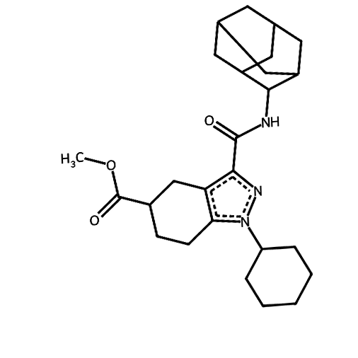 COC(=O)C1CCc2c(c(C(=O)NC3C4CC5CC(C4)CC3C5)nn2C2CCCCC2)C1